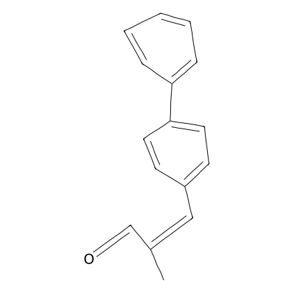 CC(C=O)=Cc1ccc(-c2ccccc2)cc1